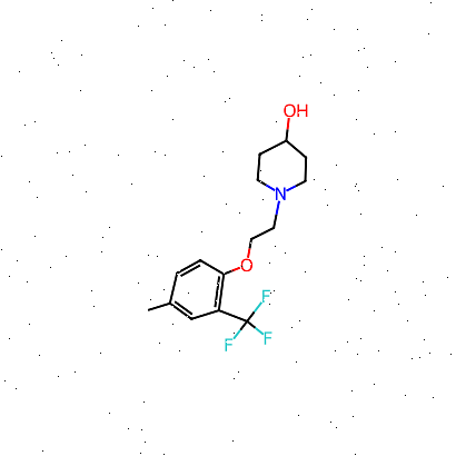 Cc1ccc(OCCN2CCC(O)CC2)c(C(F)(F)F)c1